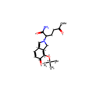 COC(=O)CCC(C(N)=O)N1C=C2C=CC(=O)C(O[Si](C)(C)C(C)(C)C)=C2C1